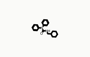 O=C(NCC1CCCCC1)N(c1ccccc1)c1ccccc1